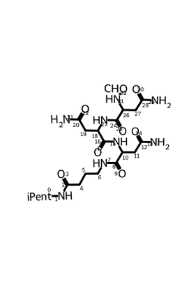 CCCC(C)NC(=O)CCCNC(=O)C(CC(N)=O)NC(=O)C(CC(N)=O)NC(=O)C(CC(N)=O)NC=O